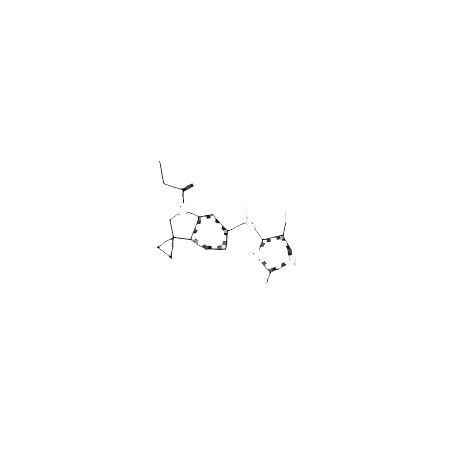 CCC(=O)N1CC2(CC2)c2ccc(Nc3nc(Cl)ncc3F)cc21